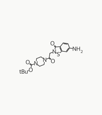 CC(C)(C)OC(=O)N1CCN(C(=O)Cn2sc3cc(N)ccc3c2=O)CC1